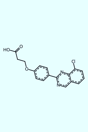 O=C(O)CCOc1ccc(-c2ncc3cccc(Cl)c3n2)cc1